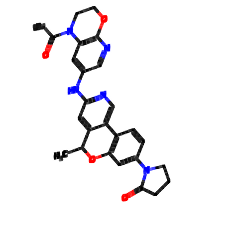 CC1Oc2cc(N3CCCC3=O)ccc2-c2cnc(Nc3cnc4c(c3)N(C(=O)C(C)(C)C)CCO4)cc21